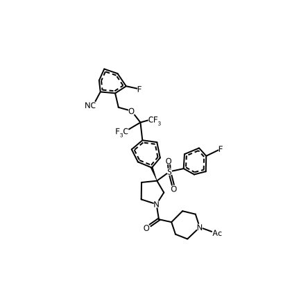 CC(=O)N1CCC(C(=O)N2CC[C@](c3ccc(C(OCc4c(F)cccc4C#N)(C(F)(F)F)C(F)(F)F)cc3)(S(=O)(=O)c3ccc(F)cc3)C2)CC1